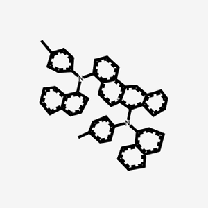 Cc1ccc(N(c2cccc3ccccc23)c2cccc3c2ccc2c(N(c4ccc(C)cc4)c4cccc5ccccc45)c4ccccc4cc23)cc1